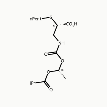 CCCCCS[C@@H](CNC(=O)O[C@H](C)OC(=O)C(C)C)C(=O)O